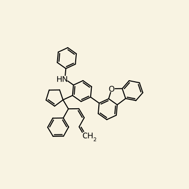 C=C/C=C\C(c1ccccc1)C1(c2cc(-c3cccc4c3oc3ccccc34)ccc2Nc2ccccc2)C=CCC1